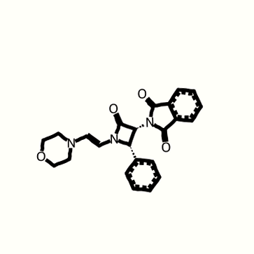 O=C1[C@H](N2C(=O)c3ccccc3C2=O)[C@H](c2ccccc2)N1/C=C/N1CCOCC1